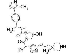 Cc1ncsc1-c1ccc(C(C)NC(=O)[C@@H]2C[C@@H](O)CN2C(=O)C(c2cc(OCCC3(C)CCNCC3)no2)C(C)C)cc1